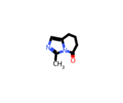 Cc1ncc2n1C(=O)CCC2